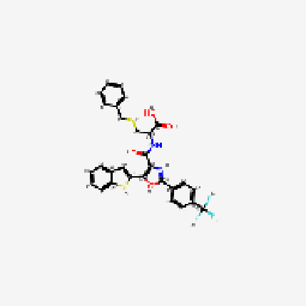 O=C(N[C@@H](CSCc1ccccc1)C(=O)O)c1nc(-c2ccc(C(F)(F)F)cc2)oc1-c1cc2ccccc2s1